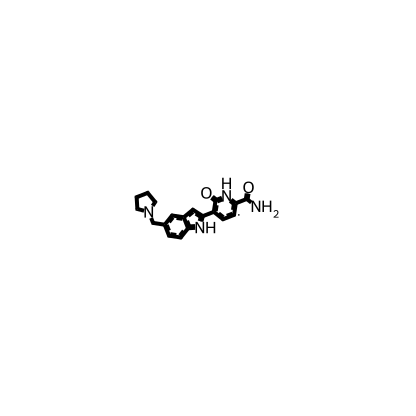 NC(=O)c1[c]cc(-c2cc3cc(CN4CCCC4)ccc3[nH]2)c(=O)[nH]1